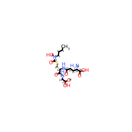 CCCCN(O)C(=O)SC[C@H](NC(=O)CC[C@H](N)C(=O)O)C(=O)NCC(=O)O